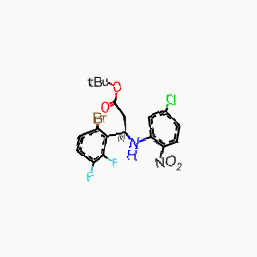 CC(C)(C)OC(=O)C[C@@H](Nc1cc(Cl)ccc1[N+](=O)[O-])c1c(Br)ccc(F)c1F